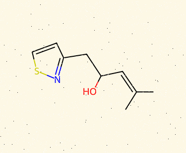 CC(C)=CC(O)Cc1ccsn1